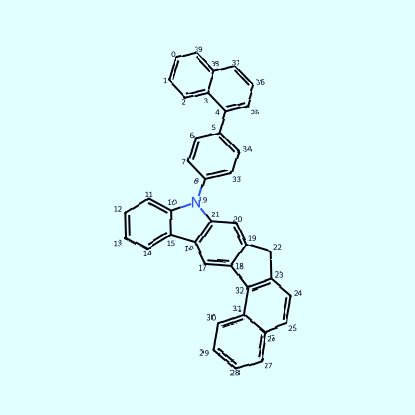 c1ccc2c(-c3ccc(-n4c5ccccc5c5cc6c(cc54)Cc4ccc5ccccc5c4-6)cc3)cccc2c1